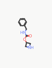 O=C(NCc1ccccc1)OC1CNC1